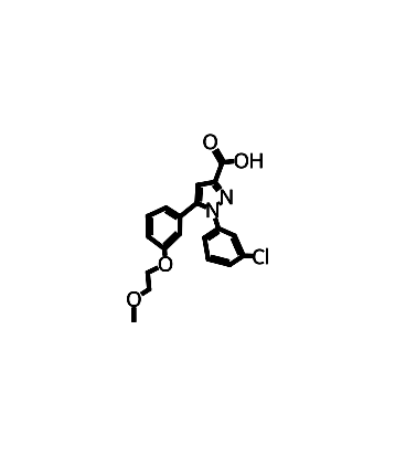 COCCOc1cccc(-c2cc(C(=O)O)nn2-c2cccc(Cl)c2)c1